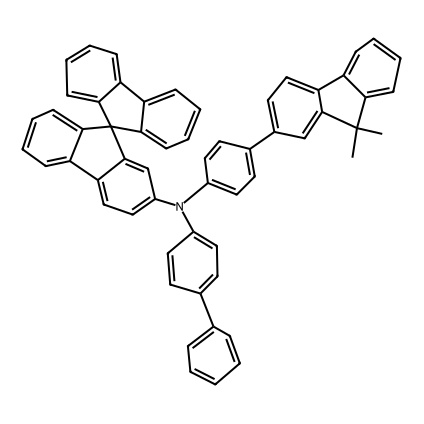 CC1(C)c2ccccc2-c2ccc(-c3ccc(N(c4ccc(-c5ccccc5)cc4)c4ccc5c(c4)C4(c6ccccc6-c6ccccc64)c4ccccc4-5)cc3)cc21